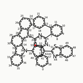 c1ccc(-c2nc(-c3ccccc3-c3ccccc3)nc(-n3c4ccccc4c4ccc5c6ccccc6n(-c6ccc(-c7nc8ccccc8s7)cc6)c5c43)n2)cc1